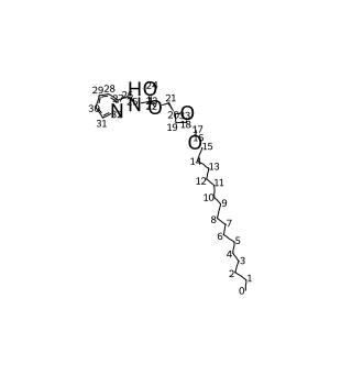 CCCCCCCCCCCCCCCCOC[C@@H]1C[C@@H](COC(=O)NCc2ccccn2)O1